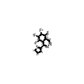 Fc1c(F)c(F)c2c(-c3cccs3)nncc2c1F